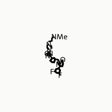 CNCCCN1CCN(c2nc(-c3cccc(Cn4nc(-c5cc(F)cc(F)c5)ccc4=O)c3)no2)CC1